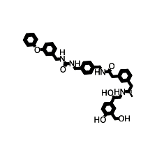 C[C@H](Cc1cccc(CC(=O)NCc2ccc(CNC(=O)NCc3cccc(Oc4ccccc4)c3)cc2)c1)NC[C@H](O)c1ccc(O)c(CO)c1